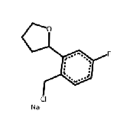 Fc1ccc(CCl)c(C2CCCO2)c1.[Na]